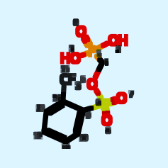 O=P(O)(O)COS(=O)(=O)c1ccccc1C(F)(F)F